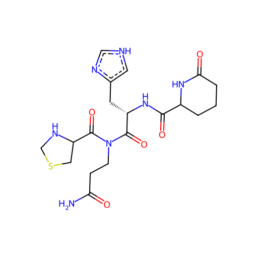 NC(=O)CCN(C(=O)C1CSCN1)C(=O)[C@H](Cc1c[nH]cn1)NC(=O)C1CCCC(=O)N1